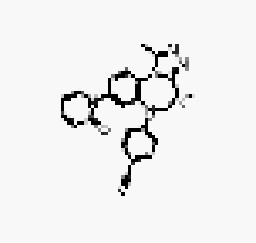 Cc1nnc2n1-c1ccc(-n3ccccc3=O)cc1N(c1ccc(C#N)cc1)C[C@H]2C